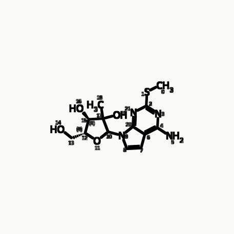 CSc1nc(N)c2ccn(C3O[C@H](CO)[C@@H](O)C3(C)O)c2n1